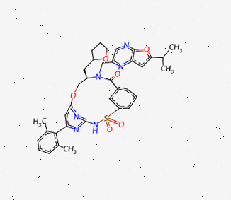 Cc1cccc(C)c1-c1cc2nc(n1)NS(=O)(=O)c1cccc(c1)C(=O)N(Cc1cnc3oc(C(C)C)cc3n1)[C@H](CC1CCCO1)CO2